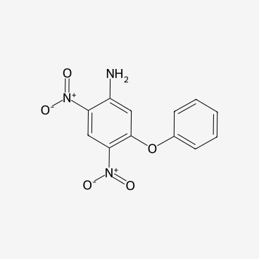 Nc1cc(Oc2ccccc2)c([N+](=O)[O-])cc1[N+](=O)[O-]